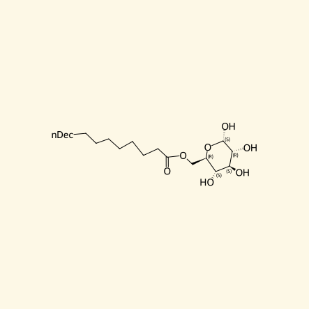 CCCCCCCCCCCCCCCCCC(=O)OC[C@H]1O[C@H](O)[C@H](O)[C@@H](O)[C@@H]1O